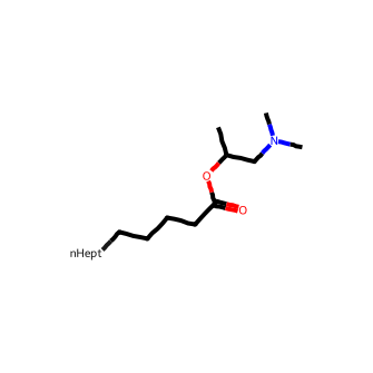 CCCCCCCCCCCC(=O)OC(C)CN(C)C